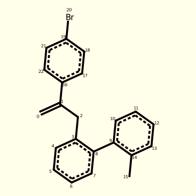 C=C(Cc1ccccc1-c1ccccc1C)c1ccc(Br)cc1